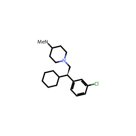 CNC1CCN(C[C@@H](c2cccc(Cl)c2)C2CCCCC2)CC1